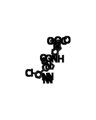 O=C=C1OC2(COC2)n2c1cc1cc(NC(=O)[C@@H]3CCC4=CC(c5cc(Cl)ccc5-n5cnnn5)=CC(=C=O)N43)ccc12